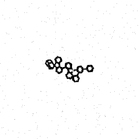 c1ccc(-c2ccc(-n3c4ccccc4c4c(-c5cccc6c5-c5ccccc5C65C6CC7CC(C6)CC5C7)cccc43)c(-c3ccccc3)c2)cc1